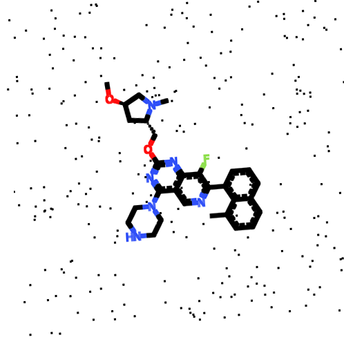 CO[C@@H]1C[C@@H](COc2nc(N3CCNCC3)c3cnc(-c4cccc5cccc(C)c45)c(F)c3n2)N(C)C1